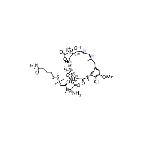 COc1cc2cc(c1Cl)N(C)C(=O)C[C@H](OC(=O)[C@H](N)N(C)C(=O)CC(C)(C)SSCCCC(N)=O)[C@]1(N)O[C@H]1[C@H](C)[C@@H]1C[C@@](O)(NC(=O)O1)[C@H](O)/C=C/C=C(\C)C2